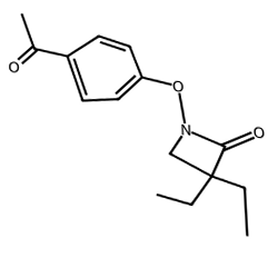 CCC1(CC)CN(Oc2ccc(C(C)=O)cc2)C1=O